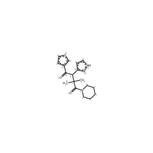 CC(C)(C(=O)N1CCCCC1)C(C(=O)c1ccsc1)c1cc[nH]n1